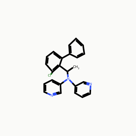 CC(c1c(Cl)cccc1-c1ccccc1)N(c1cccnc1)c1cccnc1